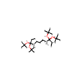 CCC(OC(C)(C)C)(OC(C)(C)C)[SiH2]CCC[SiH2]C(CC)(OC(C)(C)C)OC(C)(C)C